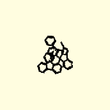 Cc1ccc2c(c1N(c1ccccc1)c1ccccc1)C1(c3ccccc3-2)c2ccccc2-n2c3ccccc3c3cccc1c32